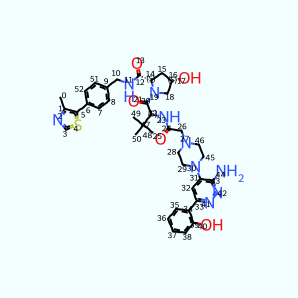 Cc1ncsc1-c1ccc(CNC(=O)[C@@H]2C[C@H](O)CN2C(=O)[C@@H](NC(=O)CN2CCN(c3cc(-c4ccccc4O)nnc3N)CC2)C(C)(C)C)cc1